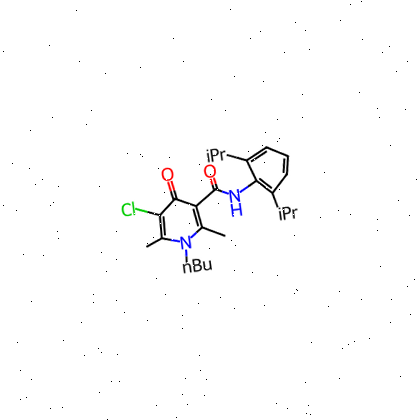 CCCCn1c(C)c(Cl)c(=O)c(C(=O)Nc2c(C(C)C)cccc2C(C)C)c1C